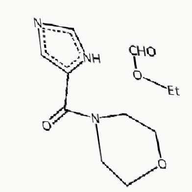 CCOC=O.O=C(c1cnc[nH]1)N1CCOCC1